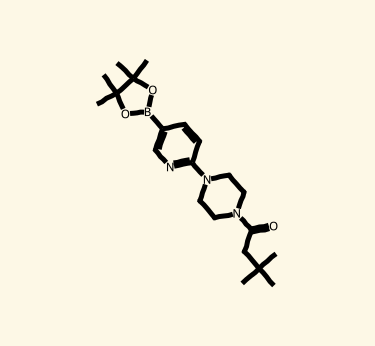 CC(C)(C)CC(=O)N1CCN(c2ccc(B3OC(C)(C)C(C)(C)O3)cn2)CC1